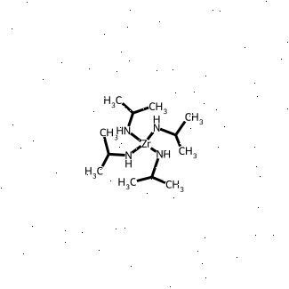 CC(C)[NH][Zr]([NH]C(C)C)([NH]C(C)C)[NH]C(C)C